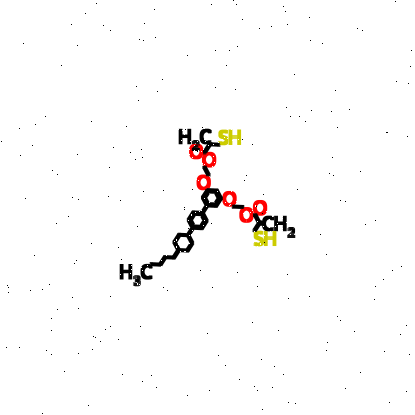 C=C(CS)C(=O)OCCOc1cc(OCCOC(=O)C(=C)CS)cc(-c2ccc(C3CCC(CCCCC)CC3)cc2)c1